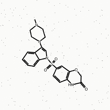 CN1CCN(c2cn(S(=O)(=O)c3ccc4c(c3)OCC(=O)N4)c3ccccc23)CC1